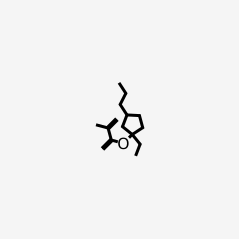 C=C(C)C(=C)OC1(CC)CCC(CCC)C1